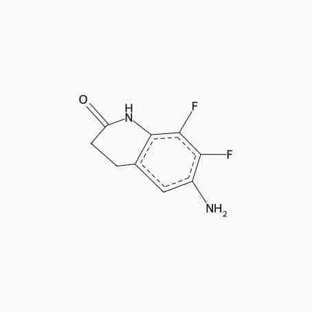 Nc1cc2c(c(F)c1F)NC(=O)CC2